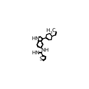 C/C=C\C1CC=C(c2c[nH]c3ccc(NC(=N)c4cccs4)cc23)CC1